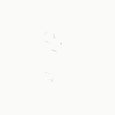 CCOc1cc2ccccc2cc1CCOC(N)=O